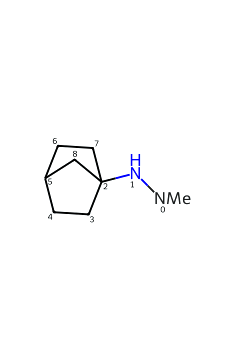 CNNC12CCC(CC1)C2